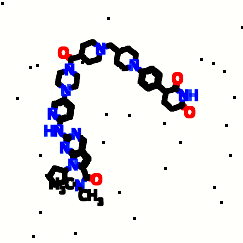 CN(C)C(=O)c1cc2cnc(Nc3ccc(N4CCN(C(=O)C5CCN(CC6CCN(c7ccc(C8CCC(=O)NC8=O)cc7)CC6)CC5)CC4)cn3)nc2n1C1CCCC1